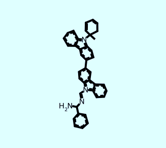 CC1(n2c3ccccc3c3cc(-c4ccc5c(c4)c4ccccc4n5/C=N/C(N)c4ccccc4)ccc32)C=CC=CC1